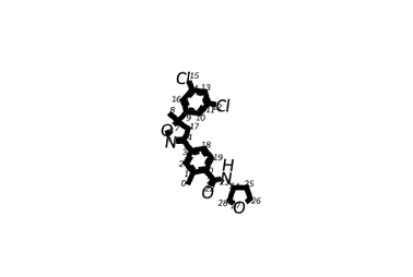 Cc1cc(C2=NOC(C)(c3cc(Cl)cc(Cl)c3)C2)ccc1C(=O)N[C@@H]1CCOC1